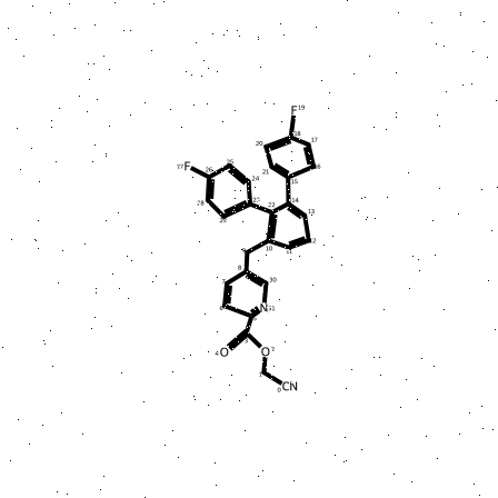 N#CCOC(=O)c1ccc(Cc2cccc(-c3ccc(F)cc3)c2-c2ccc(F)cc2)cn1